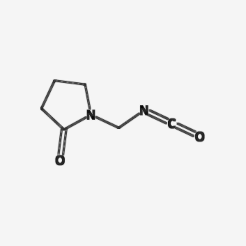 O=C=NCN1CCCC1=O